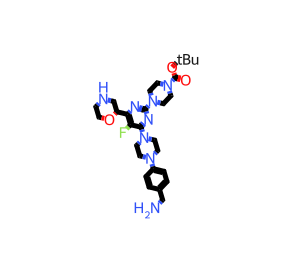 CC(C)(C)OC(=O)N1CCN(c2nc(C3CNCCO3)c(F)c(N3CCN(c4ccc(CN)cc4)CC3)n2)CC1